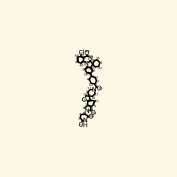 O=C1CC[C@H](N2Cc3c(ccc4c3OCC43CCN(C(=O)C4CCC(c5ccc6c(c5)C5(CCCCC5)c5nc(=O)c7c(Cl)cccc7n5-6)CC4)CC3)C2=O)C(=O)N1